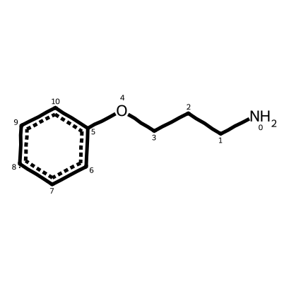 NCCCOc1cc[c]cc1